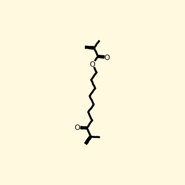 C=C(C)C(=O)CCCCCCCOC(=O)C(=C)C